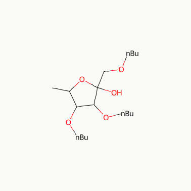 CCCCOCC1(O)OC(C)C(OCCCC)C1OCCCC